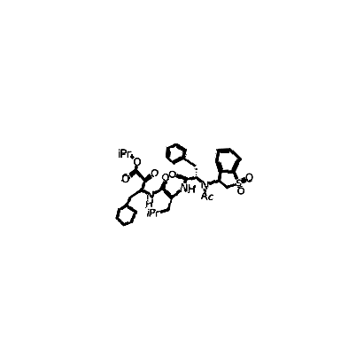 CC(=O)N(C1CS(=O)(=O)c2ccccc21)[C@@H](Cc1ccccc1)C(=O)N[C@@H](CC(C)C)C(=O)NC(CC1CCCCC1)C(=O)C(=O)OC(C)C